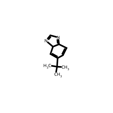 CC(C)(C)C1=CC2N=CN=C2C=C1